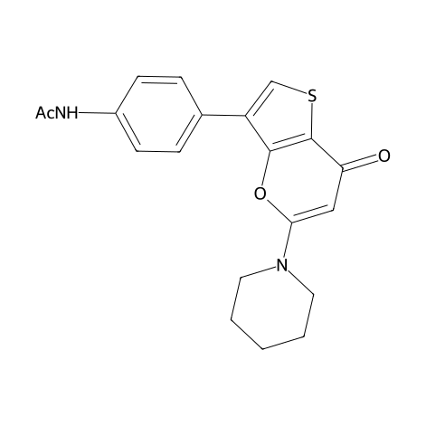 CC(=O)Nc1ccc(-c2csc3c(=O)cc(N4CCCCC4)oc23)cc1